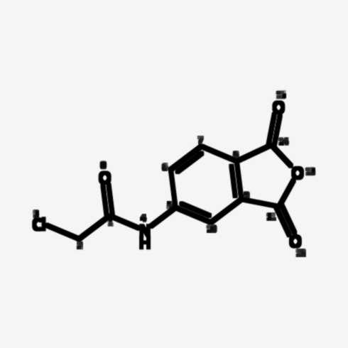 O=C(CCl)Nc1ccc2c(c1)C(=O)OC2=O